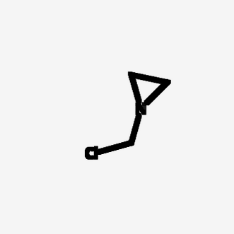 ClCN1CC1